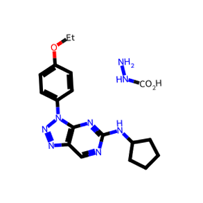 CCOc1ccc(-n2nnc3cnc(NC4CCCC4)nc32)cc1.NNC(=O)O